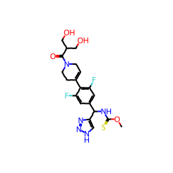 COC(=S)NC(c1cc(F)c(C2=CCN(C(=O)C(CO)CO)CC2)c(F)c1)c1c[nH]nn1